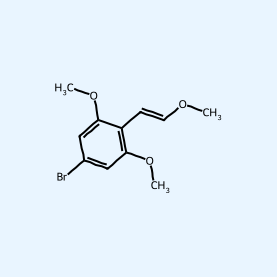 COC=Cc1c(OC)cc(Br)cc1OC